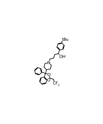 CC(C)(C)c1ccc(C(O)CCCN2CCC(C(OC(=O)CC(F)(F)F)(c3ccccc3)c3ccccc3)CC2)cc1